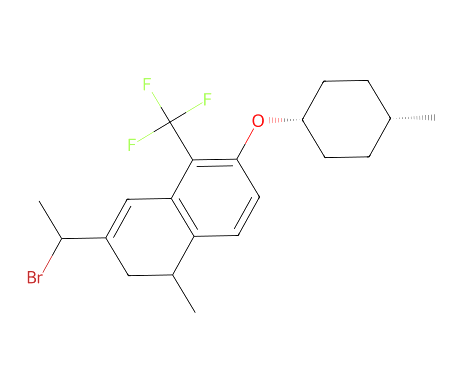 CC(Br)C1=Cc2c(ccc(O[C@H]3CC[C@@H](C)CC3)c2C(F)(F)F)C(C)C1